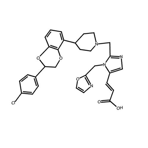 O=C(O)C=Cc1cnc(CN2CCC(c3cccc4c3OCC(c3ccc(Cl)cc3)O4)CC2)n1Cc1ncco1